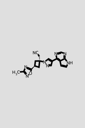 Cc1noc([C@H]2C[C@@](CC#N)(n3cc(-c4ncnc5[nH]ccc45)cn3)C2)n1